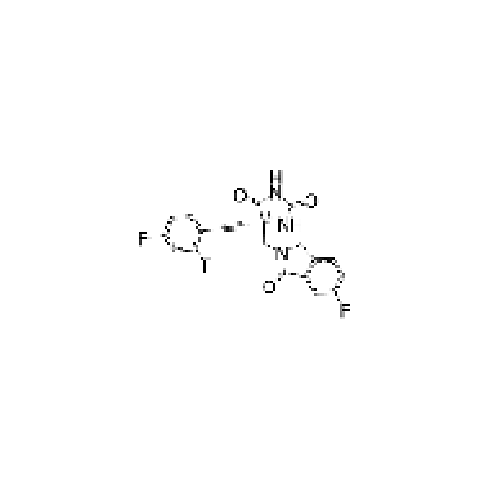 O=C1NC(=O)[C@](C#Cc2ccc(F)cc2F)(CN2Cc3ccc(F)cc3C2=O)N1